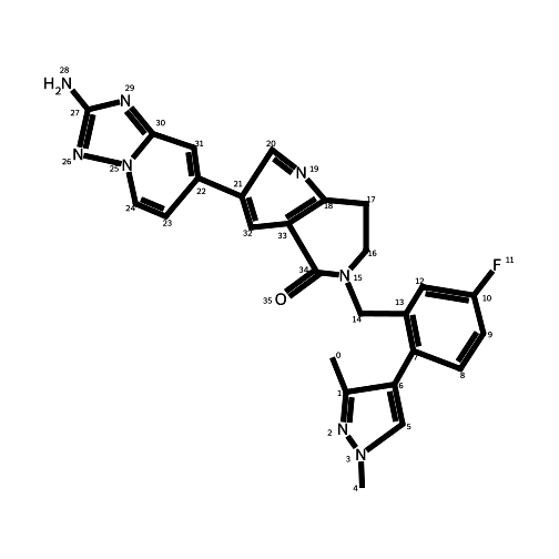 Cc1nn(C)cc1-c1ccc(F)cc1CN1CCc2ncc(-c3ccn4nc(N)nc4c3)cc2C1=O